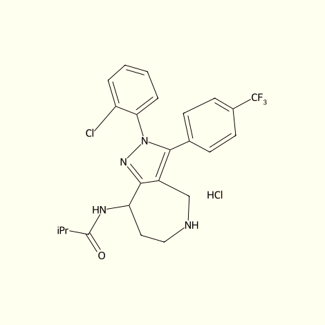 CC(C)C(=O)NC1CCNCc2c1nn(-c1ccccc1Cl)c2-c1ccc(C(F)(F)F)cc1.Cl